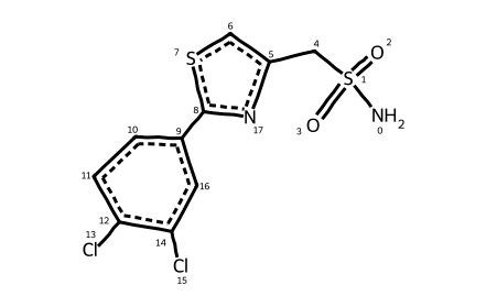 NS(=O)(=O)Cc1csc(-c2ccc(Cl)c(Cl)c2)n1